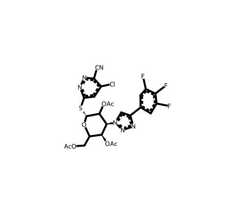 CC(=O)OCC1O[C@H](Sc2cc(Cl)c(C#N)nn2)C(OC(C)=O)[C@@H](n2cc(-c3cc(F)c(F)c(F)c3)nn2)[C@H]1OC(C)=O